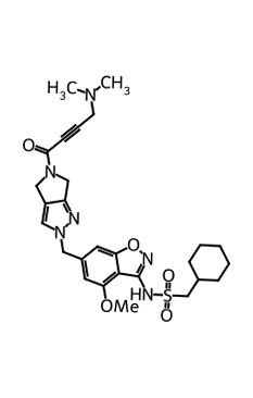 COc1cc(Cn2cc3c(n2)CN(C(=O)C#CCN(C)C)C3)cc2onc(NS(=O)(=O)CC3CCCCC3)c12